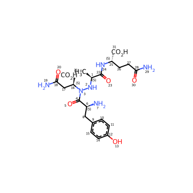 C[C@H](NN(C(=O)[C@@H](N)Cc1ccc(O)cc1)[C@@H](CC(N)=O)C(=O)O)C(=O)N[C@@H](CCC(N)=O)C(=O)O